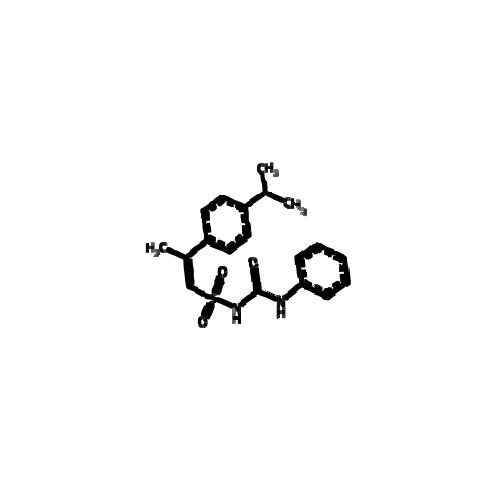 CC(=CS(=O)(=O)NC(=O)Nc1ccccc1)c1ccc(C(C)C)cc1